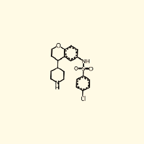 O=S(=O)(Nc1ccc2c(c1)C(C1CCNCC1)CCO2)c1ccc(Cl)cc1